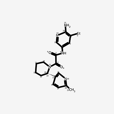 CCc1cc(NC(=O)C(=O)N2CCCC[C@H]2c2ccc(C)nc2)cnc1N